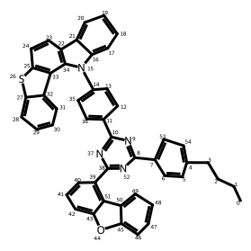 CCCCc1ccc(-c2nc(-c3ccc(-n4c5ccccc5c5ccc6sc7ccccc7c6c54)cc3)nc(-c3cccc4oc5ccccc5c34)n2)cc1